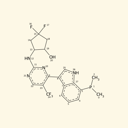 CP(C)c1cccc2c(-c3nc(NC4CC(F)(F)CC4O)ncc3C(F)(F)F)c[nH]c12